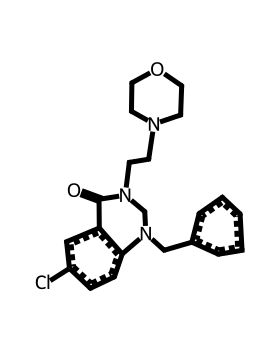 O=C1c2cc(Cl)ccc2N(Cc2ccccc2)CN1CCN1CCOCC1